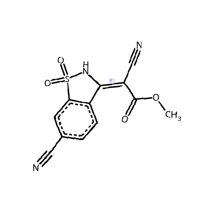 COC(=O)/C(C#N)=C1/NS(=O)(=O)c2cc(C#N)ccc21